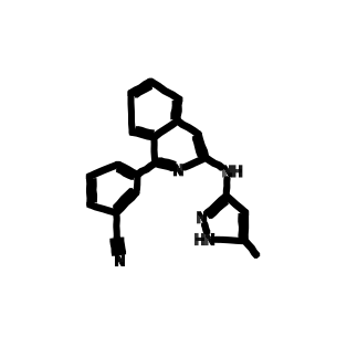 Cc1cc(Nc2cc3ccccc3c(-c3cccc(C#N)c3)n2)n[nH]1